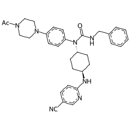 CC(=O)N1CCN(c2ccc(N(C(=O)NCc3ccccc3)[C@H]3CC[C@H](Nc4ccc(C#N)cn4)CC3)cc2)CC1